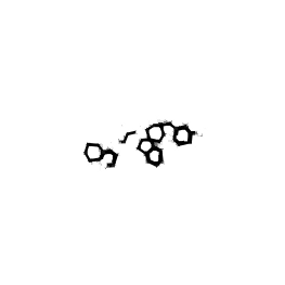 C[C@@H](COc1ccnc2c1[C@@H](C)CCC2)C[C@H]1Cc2ccccc2C12CCC(Cc1cccc(Cl)c1)(C(=O)O)CC2